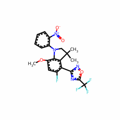 COc1cc(F)c(-c2noc(C(F)(F)F)n2)c2c1N(c1ccccc1[N+](=O)[O-])CC2(C)C